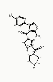 Cc1onc(-c2ccc(Br)cc2)c1C(=O)C1C=C(C(=O)N2CCOCC2)NC1